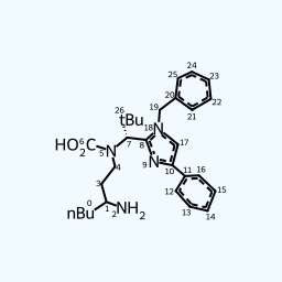 CCCCC(N)CCN(C(=O)O)[C@@H](c1nc(-c2ccccc2)cn1Cc1ccccc1)C(C)(C)C